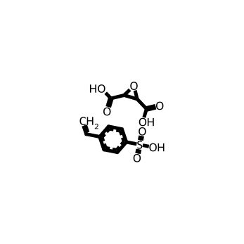 C=Cc1ccc(S(=O)(=O)O)cc1.O=C(O)C1OC1C(=O)O